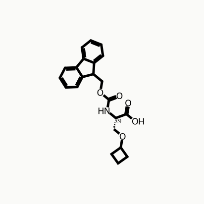 O=C(N[C@@H](COC1CCC1)C(=O)O)OCC1c2ccccc2-c2ccccc21